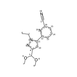 CCn1nc(C(OC)OC)cc1-c1cccc(C#N)n1